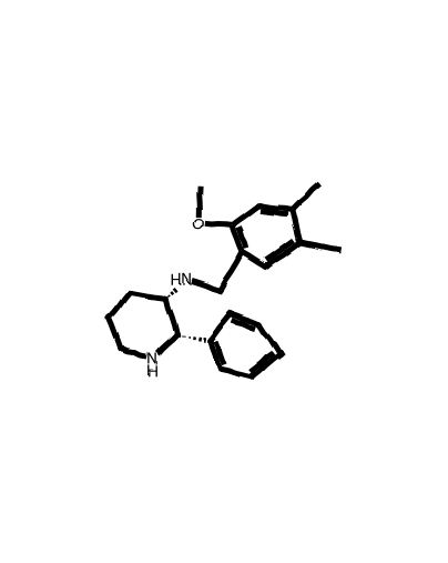 COc1cc(C)c(C)cc1CN[C@H]1CCCN[C@H]1c1ccccc1